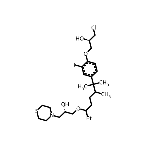 CCC(CCC(C)C(C)(C)c1ccc(OC[C@@H](O)CCl)c(I)c1)OC[C@@H](O)CN1CCSCC1